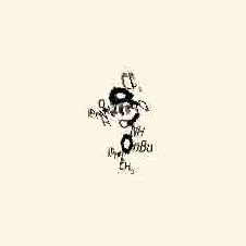 CCCC[C@@H]1C[C@H](N(C)C(C)C)CC[C@@H]1NC(=O)CNC(=O)c1cc(C(F)(F)F)ccc1NC(=O)NC(C)C